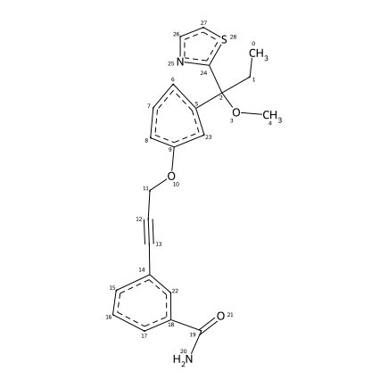 CCC(OC)(c1cccc(OCC#Cc2cccc(C(N)=O)c2)c1)c1nccs1